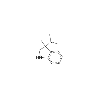 CN(C)C1(C)CNc2ccccc21